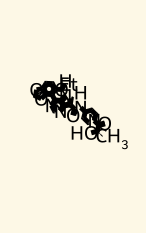 CCOc1ccc2c(c1-c1ncnc3c(C(=O)NC4CCN(C(=O)[C@H](C)O)CC4)c[nH]c13)OCO2